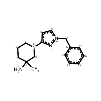 NC1(C(F)(F)F)CCCN(c2ccn(Cc3ccccc3)n2)C1